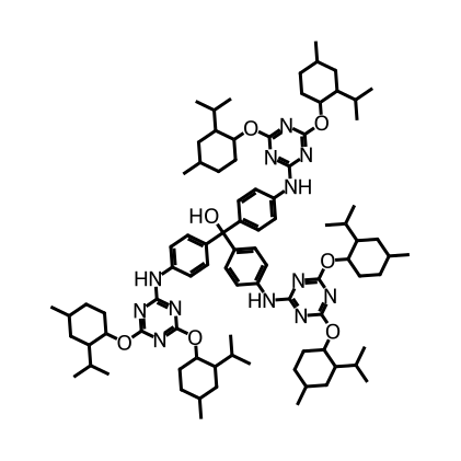 CC1CCC(Oc2nc(Nc3ccc(C(O)(c4ccc(Nc5nc(OC6CCC(C)CC6C(C)C)nc(OC6CCC(C)CC6C(C)C)n5)cc4)c4ccc(Nc5nc(OC6CCC(C)CC6C(C)C)nc(OC6CCC(C)CC6C(C)C)n5)cc4)cc3)nc(OC3CCC(C)CC3C(C)C)n2)C(C(C)C)C1